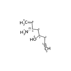 C#CCC(O)C[C@H](N)C=C